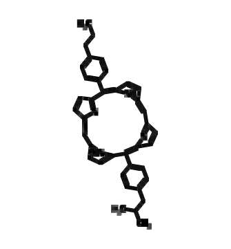 CCCc1ccc(-c2c3nc(cc4ccc([nH]4)c(-c4ccc(CC(C)C)cc4)c4nc(cc5ccc2[nH]5)C=C4)C=C3)cc1